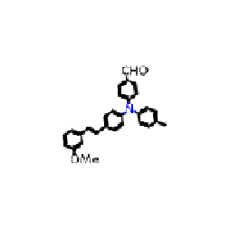 COc1cccc(C=Cc2ccc(N(c3ccc(C)cc3)c3ccc(C=O)cc3)cc2)c1